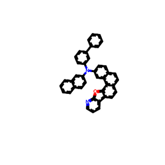 c1ccc(-c2cccc(N(c3ccc4ccccc4c3)c3ccc4ccc5ccc6c7cccnc7oc6c5c4c3)c2)cc1